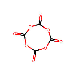 O=C1OC(=O)OC(=O)OC(=O)O1